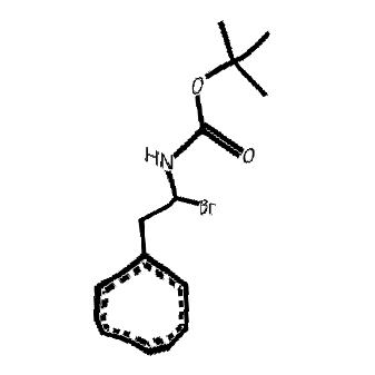 CC(C)(C)OC(=O)NC(Br)Cc1ccccc1